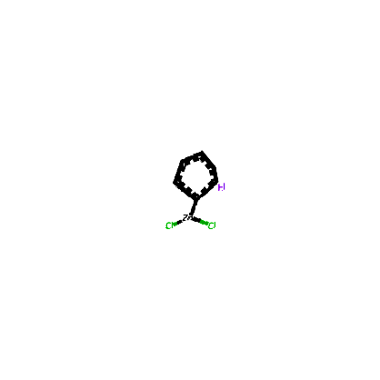 I.[Cl][Zn]([Cl])[c]1ccccc1